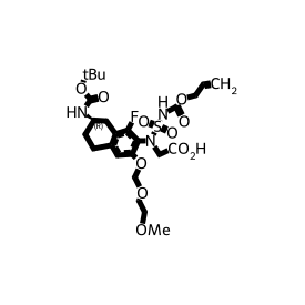 C=CCOC(=O)NS(=O)(=O)N(CC(=O)O)c1c(OCOCCOC)cc2c(c1F)C[C@H](NC(=O)OC(C)(C)C)CC2